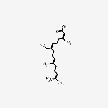 CC(C)=CCC/C(C)=C/CC/C(=C\CC/C(C)=C\C(=O)O)CO